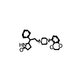 O=C1CCC(C(CCN2CCN(c3cccc4c3OCCO4)CC2)c2ccccc2)N1